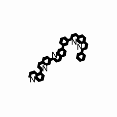 c1ccc(-c2ccc3ccc4ccc(-c5cccc(-c6ccc7ccc(-c8ccc9ccc(-c%10cccc%11ncccc%10%11)nc9c8)nc7c6)c5)nc4c3n2)cc1